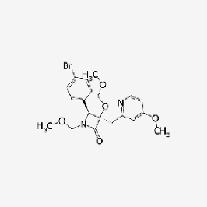 COCO[C@@]1(Cc2cc(OC)ccn2)C(=O)N(COC)[C@H]1c1ccc(Br)cc1